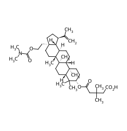 C=C(C)[C@@H]1CC[C@]2(CCOC(=O)N(C)C)CC[C@]3(C)[C@H](CC[C@@H]4[C@@]5(C)CC[C@H](OC(=O)CC(C)(C)CC(=O)O)C(C)(C)[C@@H]5CC[C@]43C)[C@@H]12